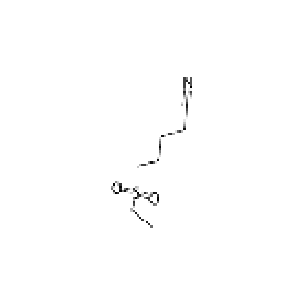 CCS(=O)(=O)CCCCC#N